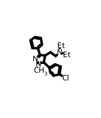 CCN(CC)CCC1C(c2ccccc2)=NN(C)C1c1ccc(Cl)cc1